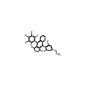 COc1cc(F)c(-c2c3ccccc3c(-c3c(F)c(F)c(F)c(F)c3F)c3c(F)ccc(F)c23)c(F)c1